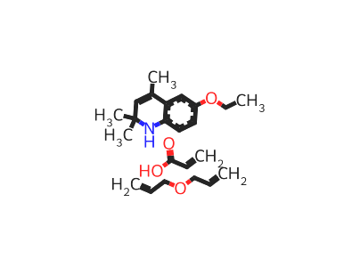 C=CC(=O)O.C=CCOCC=C.CCOc1ccc2c(c1)C(C)=CC(C)(C)N2